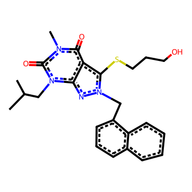 CC(C)Cn1c(=O)n(C)c(=O)c2c(SCCCO)n(Cc3cccc4ccccc34)nc21